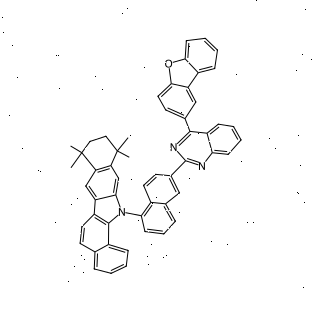 CC1(C)CCC(C)(C)c2cc3c(cc21)c1ccc2ccccc2c1n3-c1cccc2cc(-c3nc(-c4ccc5oc6ccccc6c5c4)c4ccccc4n3)ccc12